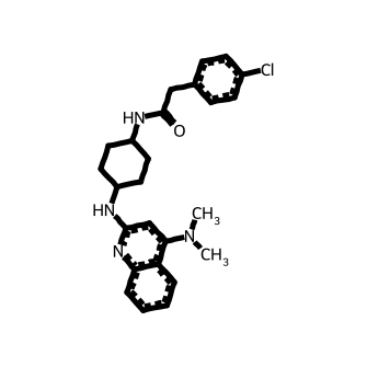 CN(C)c1cc(NC2CCC(NC(=O)Cc3ccc(Cl)cc3)CC2)nc2ccccc12